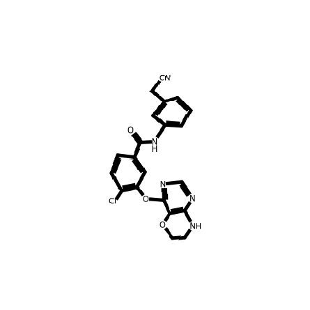 N#CCc1cccc(NC(=O)c2ccc(Cl)c(Oc3ncnc4c3OCCN4)c2)c1